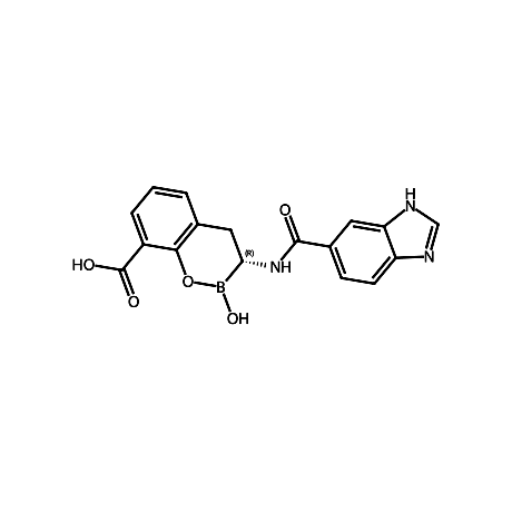 O=C(N[C@H]1Cc2cccc(C(=O)O)c2OB1O)c1ccc2nc[nH]c2c1